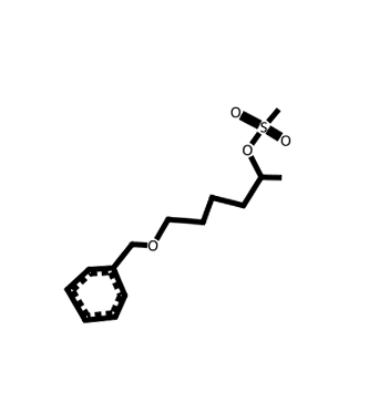 CC(CCCCOCc1ccccc1)OS(C)(=O)=O